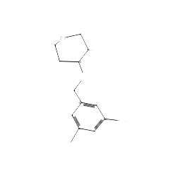 Clc1cc(Cl)cc(COC2CCNCC2)c1